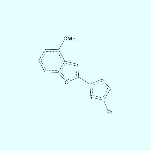 CCc1ccc(-c2cc3c(OC)cccc3o2)s1